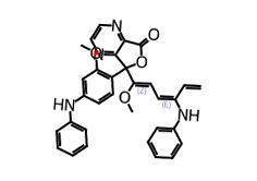 C=C/C(=C\C=C(/OC)C1(c2ccc(Nc3ccccc3)cc2OC)OC(=O)c2nccnc21)Nc1ccccc1